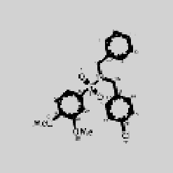 COc1ccc(S(=O)(=O)N(Cc2ccccc2)Cc2ccc(Cl)cc2)cc1OC